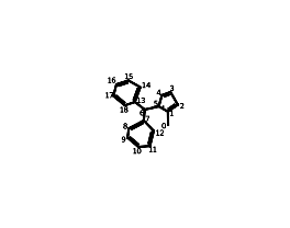 CC1=CC=C[C]1C(c1ccccc1)c1ccccc1